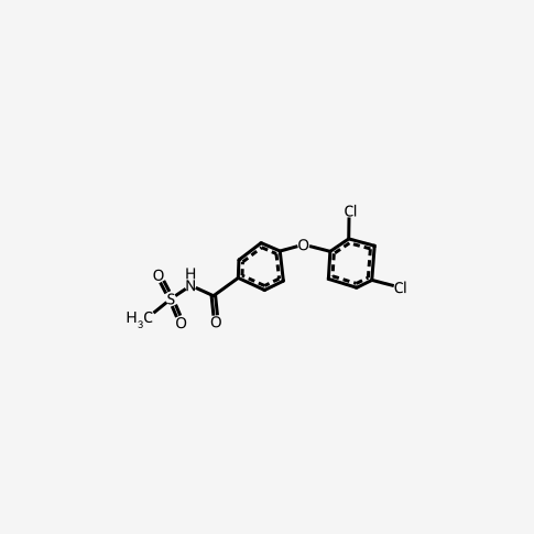 CS(=O)(=O)NC(=O)c1ccc(Oc2ccc(Cl)cc2Cl)cc1